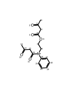 CC(=O)CC(=O)OCCN(C(=O)CC(C)=O)c1ccccc1